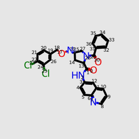 O=C(Nc1ccc2ncccc2c1)C1C/C(=N\OCc2ccc(Cl)c(Cl)c2)CN1C(=O)c1ccccc1